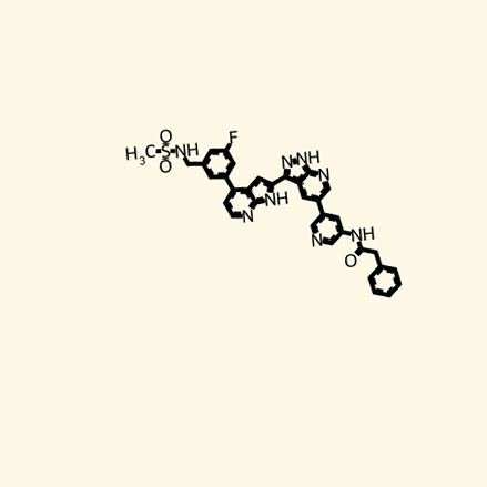 CS(=O)(=O)NCc1cc(F)cc(-c2ccnc3[nH]c(-c4n[nH]c5ncc(-c6cncc(NC(=O)Cc7ccccc7)c6)cc45)cc23)c1